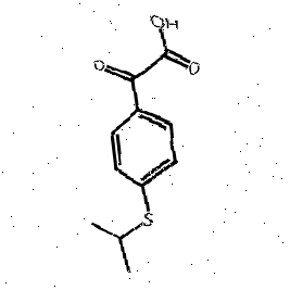 CC(C)Sc1ccc(C(=O)C(=O)O)cc1